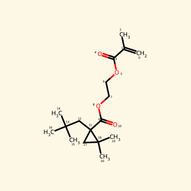 C=C(C)C(=O)OCCOC(=O)C1(CC(C)(C)C)CC1(C)C